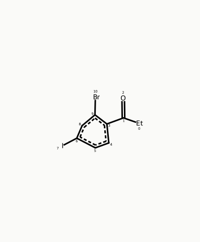 CCC(=O)c1ccc(I)cc1Br